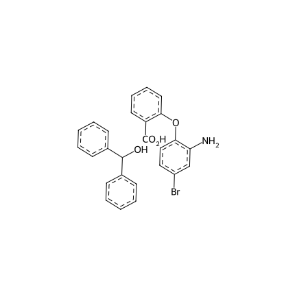 Nc1cc(Br)ccc1Oc1ccccc1C(=O)O.OC(c1ccccc1)c1ccccc1